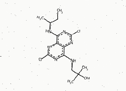 CCC(C)Nc1nc(Cl)nc2c(NCC(C)(C)O)nc(Cl)nc12